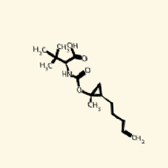 C=CCCC[C@@H]1C[C@@]1(C)OC(=O)N[C@H](C(=O)O)C(C)(C)C